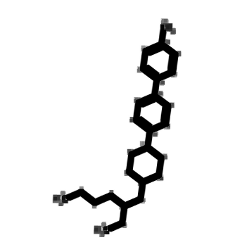 CCCCC(CC)CC1CCC(c2ccc(-c3ccc(C)cc3)cc2)CC1